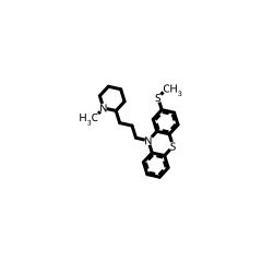 CSc1ccc2c(c1)N(CCCC1CCCCN1C)c1ccccc1S2